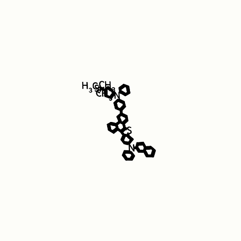 C[Si](C)(C)c1ccc(N(c2ccccc2)c2ccc(-c3ccc4c(c3)c3ccccc3c3c5ccc(N(c6ccccc6)c6ccc7ccccc7c6)cc5sc43)cc2)cc1